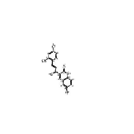 O=C(C=Cc1ccc(Cl)cc1Cl)c1cc2cc(Br)ccc2sc1=O